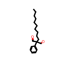 CCCCCCCCCCC(C=O)(C=O)c1ccccc1